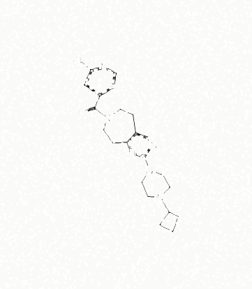 O=C(c1ccnc(Cl)c1)N1CCc2cnc(N3CCN(C4CCC4)CC3)nc2CC1